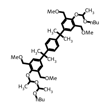 CCCCOC(C)Oc1c(COC)cc(C(C)(C)c2ccc(C(C)(C)c3cc(COC)c(OC(C)OC(C)OCCCC)c(COC)c3)cc2)cc1COC